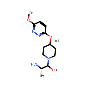 CC(C)Oc1ccc(OC2CCN(C(O)[C@@H](N)C(C)C)CC2)nn1.Cl